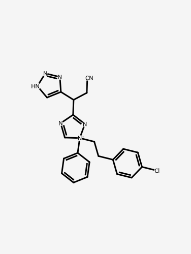 N#CCC(C1=N[N+](CCc2ccc(Cl)cc2)(c2ccccc2)C=N1)c1c[nH]nn1